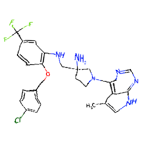 Cc1c[nH]c2ncnc(N3CCC(N)(CNc4cc(C(F)(F)F)ccc4Oc4ccc(Cl)cc4)C3)c12